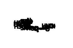 Cc1cc(OCc2nnc(SC3(S)C(S)C(S)(S)C(S)(S)C3(S)S)n2-c2cccnc2)ccc1C#CCOC(=O)NC1CCN(C)CC1